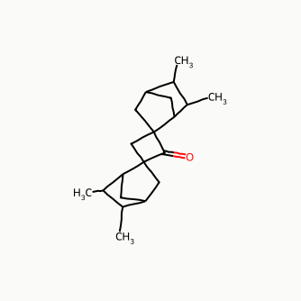 CC1C2CC(C1C)C1(C2)CC2(CC3CC2C(C)C3C)C1=O